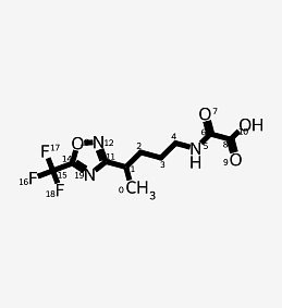 CC(CCCNC(=O)C(=O)O)c1noc(C(F)(F)F)n1